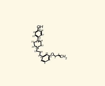 C=CCOc1cccc(CCCN2CCN(c3ccc(O)cc3)CC2)c1